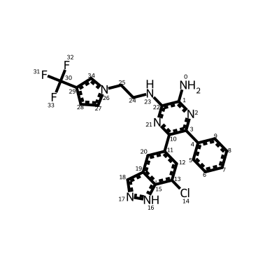 Nc1nc(-c2ccccc2)c(-c2cc(Cl)c3[nH]ncc3c2)nc1NCCn1ccc(C(F)(F)F)c1